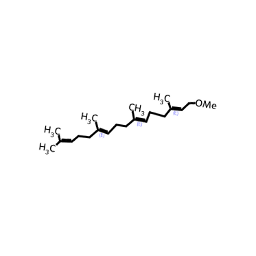 COC/C=C(\C)CC/C=C(\C)CC/C=C(\C)CCC=C(C)C